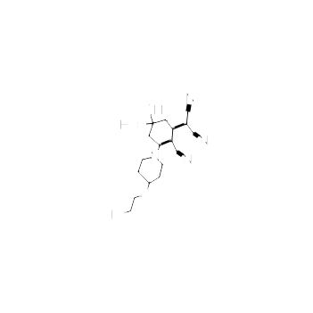 CC1(C)CC(=C(C#N)C#N)C(C#N)=C(N2CCC(OCCO)CC2)C1